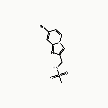 CS(=O)(=O)NCc1cn2ccc(Br)cc2n1